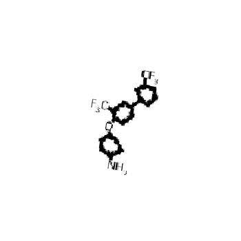 Nc1ccc(Oc2ccc(-c3cccc(C(F)(F)F)c3)cc2C(F)(F)F)cc1